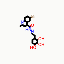 Cc1cc(C(=O)NN=CCc2ccc(O)c(O)c2O)c2cc(Br)ccc2n1